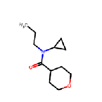 CCCN(C(=O)C1CCOCC1)C1CC1